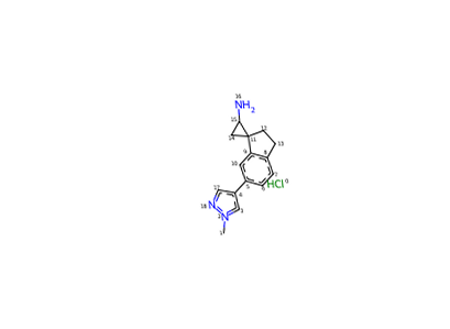 Cl.Cn1cc(-c2ccc3c(c2)C2(CC3)CC2N)cn1